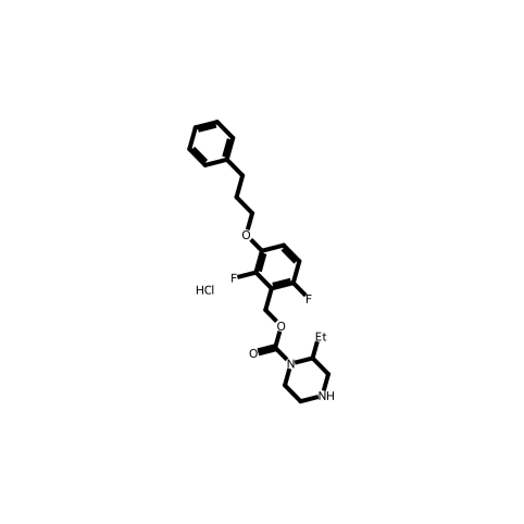 CCC1CNCCN1C(=O)OCc1c(F)ccc(OCCCc2ccccc2)c1F.Cl